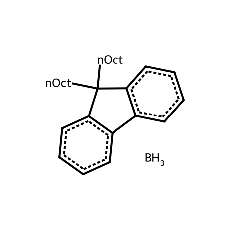 B.CCCCCCCCC1(CCCCCCCC)c2ccccc2-c2ccccc21